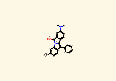 CN(C)c1ccc2c(c1)C(O)n1c-2c(-c2ccccc2)c2ccc(C(=O)O)cc21